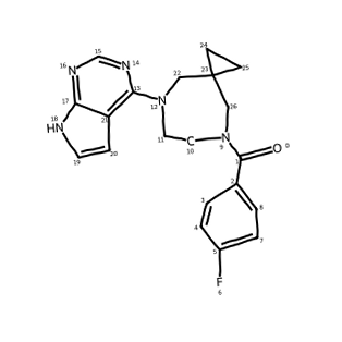 O=C(c1ccc(F)cc1)N1CCN(c2ncnc3[nH]ccc23)CC2(CC2)C1